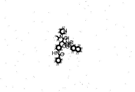 CC(C)N(C(=O)C(Cc1ccc(NC(=O)c2ccccc2)cc1)C(=O)NS(=O)(=O)c1ccc2ccccc2c1)c1cccnc1